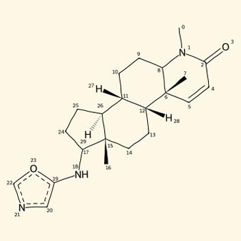 CN1C(=O)C=C[C@@]2(C)C1CC[C@@H]1[C@H]2CC[C@]2(C)C(Nc3cnco3)CC[C@@H]12